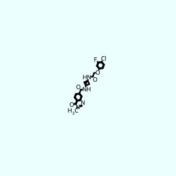 Cn1cnc2cc(C(=O)NC34CC(NC(=O)COc5ccc(Cl)c(F)c5)(C3)C4)ccc2c1=O